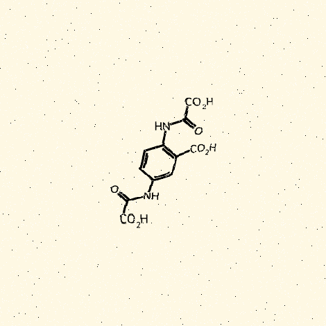 O=C(O)C(=O)Nc1ccc(NC(=O)C(=O)O)c(C(=O)O)c1